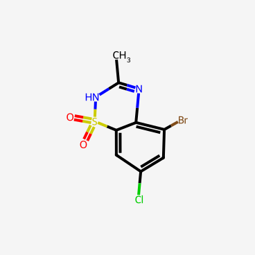 CC1=Nc2c(Br)cc(Cl)cc2S(=O)(=O)N1